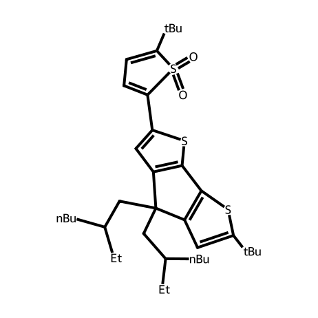 CCCCC(CC)CC1(CC(CC)CCCC)c2cc(C3=CC=C(C(C)(C)C)S3(=O)=O)sc2-c2sc(C(C)(C)C)cc21